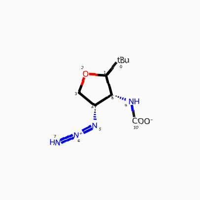 CC(C)(C)C1OC[C@@H](N=[N+]=N)[C@H]1NC(=O)[O-]